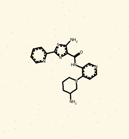 Nc1sc(-c2ccccn2)nc1C(=O)Nc1cnccc1N1CCCC(N)C1